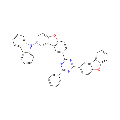 c1ccc(-c2nc(-c3ccc4oc5ccccc5c4c3)nc(-c3ccc4oc5ccc(-n6c7ccccc7c7ccccc76)cc5c4c3)n2)cc1